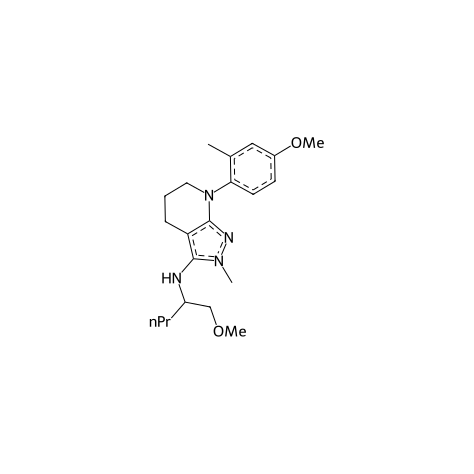 CCCC(COC)Nc1c2c(nn1C)N(c1ccc(OC)cc1C)CCC2